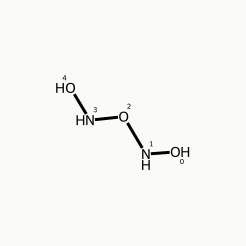 ONONO